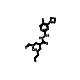 CCCCCC(CN(O)C=O)C(=O)NNc1ncc(F)c(N2CCC2)n1